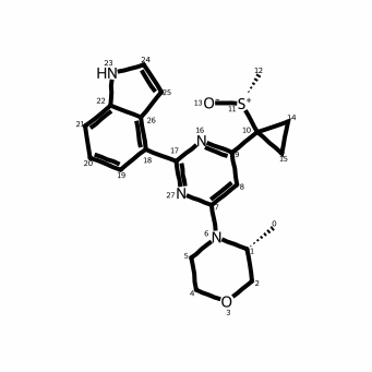 C[C@@H]1COCCN1c1cc(C2([S@@+](C)[O-])CC2)nc(-c2cccc3[nH]ccc23)n1